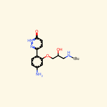 CC(C)(C)NCC(O)COc1cc(N)ccc1-c1ccc(=O)[nH]n1